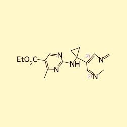 C=N/C=C(\C=N/C)C1(Nc2ncc(C(=O)OCC)c(C)n2)CC1